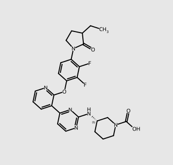 CCC1CCN(c2ccc(Oc3ncccc3-c3ccnc(N[C@H]4CCCN(C(=O)O)C4)n3)c(F)c2F)C1=O